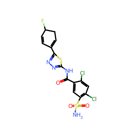 NS(=O)(=O)c1cc(C(=O)Nc2nnc(C3=CCC(F)C=C3)s2)c(Cl)cc1Cl